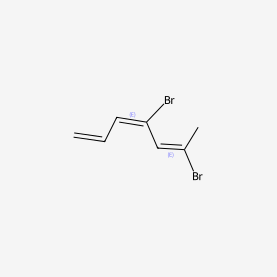 C=C/C=C(Br)\C=C(/C)Br